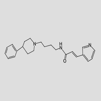 O=C(C=Cc1cccnc1)NCCCCN1CCC(c2ccccc2)CC1